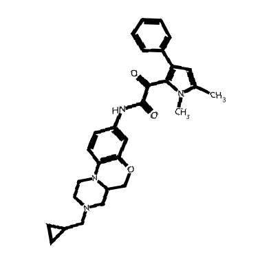 Cc1cc(-c2ccccc2)c(C(=O)C(=O)Nc2ccc3c(c2)OCC2CN(CC4CC4)CCN32)n1C